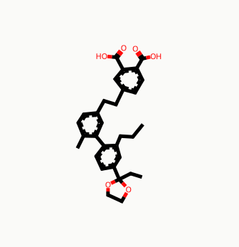 CCCc1cc(C2(CC)OCCO2)ccc1-c1cc(CCc2ccc(C(=O)O)c(C(=O)O)c2)ccc1C